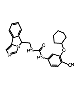 N#Cc1ccc(NC(=O)NCC2c3ccccc3-c3cncn32)cc1OC1CCCCC1